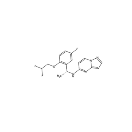 C[C@@H](Nc1ccn2nccc2n1)c1cc(F)ccc1OCC(F)F